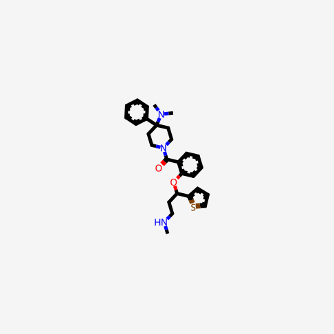 CNCCC(Oc1ccccc1C(=O)N1CCC(c2ccccc2)(N(C)C)CC1)c1cccs1